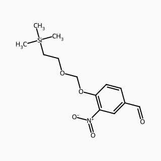 C[Si](C)(C)CCOCOc1ccc(C=O)cc1[N+](=O)[O-]